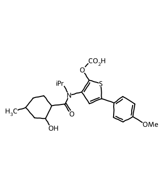 COc1ccc(-c2cc(N(C(=O)C3CCC(C)CC3O)C(C)C)c(OC(=O)O)s2)cc1